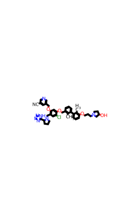 Cc1c(COc2cc(OCc3cncc(C#N)c3)c(CN3CCCC3c3nnn[nH]3)cc2Cl)cccc1-c1cccc(OCCCN2CCC(O)C2)c1C